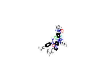 Cn1c(Nc2c(Cl)ccc(CNC(=O)C(C)(C)C)c2F)nc2cc(C(=O)N[C@H]3CC[C@H](C(F)(F)F)CC3)c(N3CCC(C(F)(F)F)C3)cc21